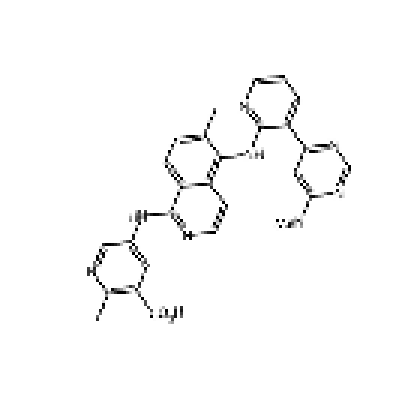 CNc1cc(-c2cccnc2Nc2c(C)ccc3c(Nc4cnc(C)c(C(=O)O)c4)nccc23)ncn1